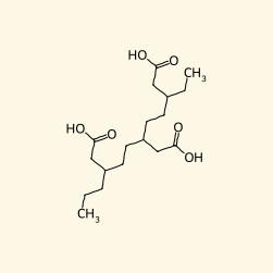 CCCC(CCC(CCC(CC)CC(=O)O)CC(=O)O)CC(=O)O